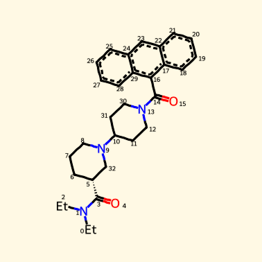 CCN(CC)C(=O)[C@@H]1CCCN(C2CCN(C(=O)c3c4ccccc4cc4ccccc34)CC2)C1